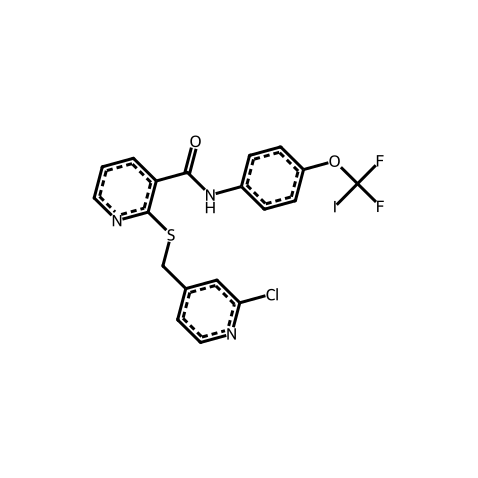 O=C(Nc1ccc(OC(F)(F)I)cc1)c1cccnc1SCc1ccnc(Cl)c1